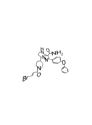 NC(=O)c1c(-c2ccc(Oc3ccccc3)cc2)nn2c1NCCC2C1CCN(C(=O)C=CBr)CC1